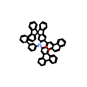 c1ccc(-c2cccc(N(c3ccc4c5ccccc5c5ccccc5c4c3)c3cc4c(cc3-c3ccc5ccc6ccccc6c5c3)-c3ccccc3C43c4ccccc4-c4ccccc43)c2)cc1